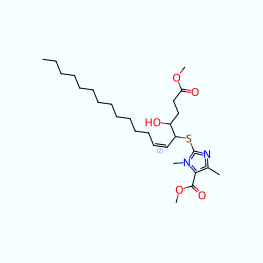 CCCCCCCCCCCC/C=C\C(Sc1nc(C)c(C(=O)OC)n1C)C(O)CCC(=O)OC